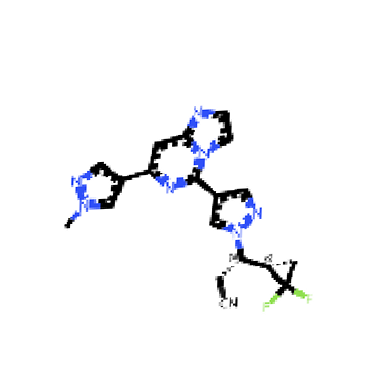 Cn1cc(-c2cc3nccn3c(-c3cnn([C@@H](CC#N)[C@@H]4CC4(F)F)c3)n2)cn1